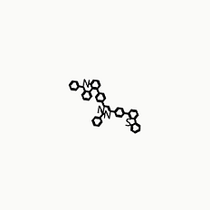 c1ccc(-c2nc(-c3ccc(-c4cccc5c4sc4ccccc45)cc3)cc(-c3ccc(-c4cccc5nc(-c6ccccc6)c6ccccc6c45)cc3)n2)cc1